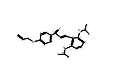 C=CCOc1ccc(C(=O)C=Cc2c(OC(C)C)cccc2OC(C)C)cc1